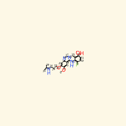 COc1cc2c(Nc3c(F)ccc(O)c3C)ncnc2cc1OCCCNC(C)C